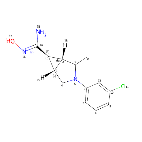 CC1[C@@H]2[C@H](CN1c1cccc(Cl)c1)[C@H]2/C(N)=N/O